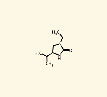 CCN1C[C@H](C(C)C)NC1=O